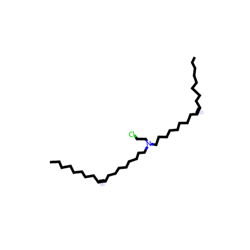 CCCCCCCC/C=C\CCCCCCCCN(CCCl)CCCCCCCC/C=C\CCCCCCCC